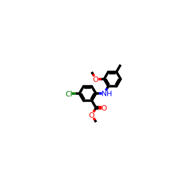 COC(=O)c1cc(Cl)ccc1Nc1ccc(C)cc1OC